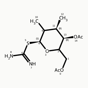 CC(=O)OCC1O[C@@H](SC(=N)N)C(C)[C@@H](C)[C@H]1OC(C)=O